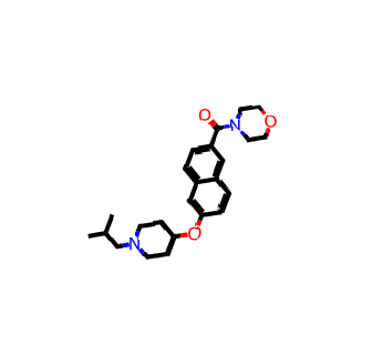 CC(C)CN1CCC(Oc2ccc3cc(C(=O)N4CCOCC4)ccc3c2)CC1